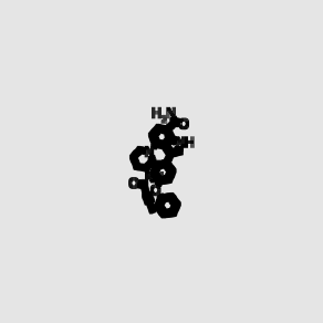 CC#CC(=O)N[C@H]1CCCN(c2ccc(C(N)=O)c3[nH]cc(-c4ccc(Oc5ccccc5)cc4)c23)C1